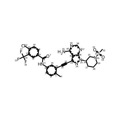 Cc1ccc(NC(=O)c2ccc(Cl)c(C(F)(F)F)c2)cc1C#Cc1nn([C@@H]2CCCN(S(C)(=O)=O)C2)c2ncnc(N)c12